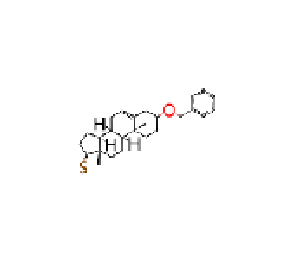 C[C@]12CCC(OCc3ccccc3)CC1=CC[C@@H]1[C@H]2CC[C@]2(C)C(=S)CC[C@@H]12